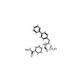 CCOC(=O)C[C@@H](Cc1ccc(-c2ccccc2)cc1)NC(=O)[C@H]1CC[C@H](C(=O)OC)CC1